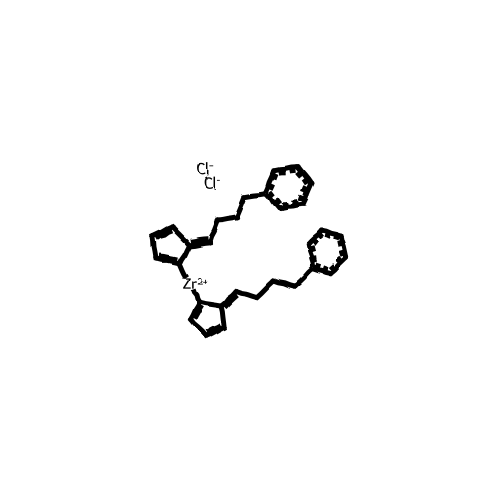 C1=CC(=CCCCc2ccccc2)[C]([Zr+2][C]2=CC=CC2=CCCCc2ccccc2)=C1.[Cl-].[Cl-]